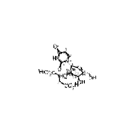 O=C(O)CCC(=O)O.O=c1ccn([C@@H]2O[C@H](CO)[C@@H](O)[C@H]2O)c(=O)[nH]1